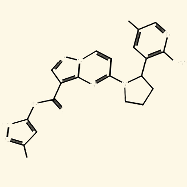 COc1ncc(F)cc1C1CCCN1c1ccn2ncc(C(=O)Nc3cc(C)n[nH]3)c2n1